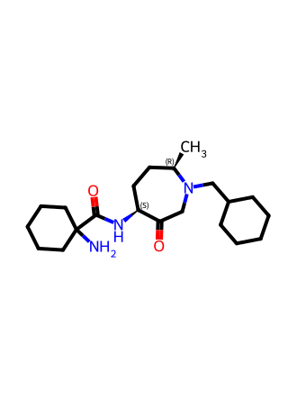 C[C@@H]1CC[C@H](NC(=O)C2(N)CCCCC2)C(=O)CN1CC1CCCCC1